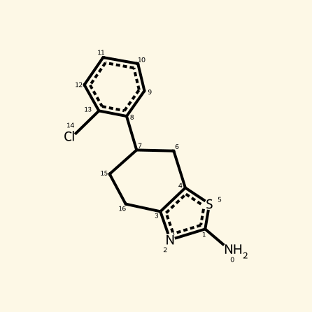 Nc1nc2c(s1)CC(c1ccccc1Cl)CC2